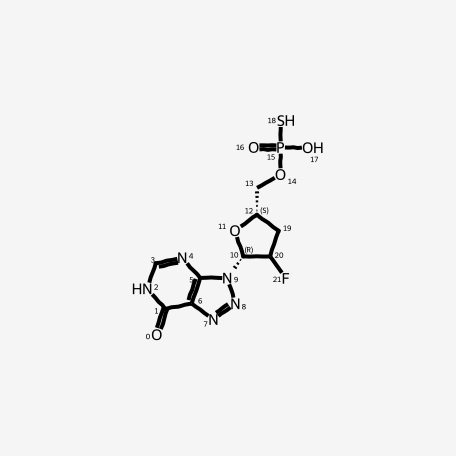 O=c1[nH]cnc2c1nnn2[C@@H]1O[C@H](COP(=O)(O)S)CC1F